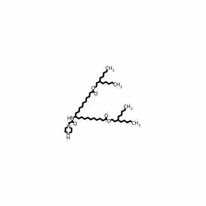 CCCCCC(CCCCC)CCOC(=O)CCCCCCCCCC(CCCCCCCCCC(=O)OCCC(CCCCC)CCCCC)NC(=O)CN1CCNCC1